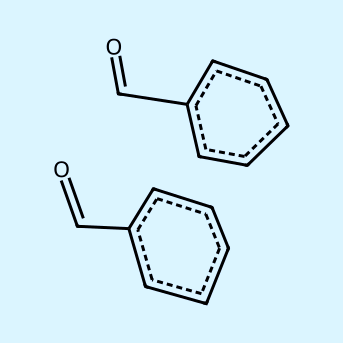 O=Cc1ccccc1.O=Cc1ccccc1